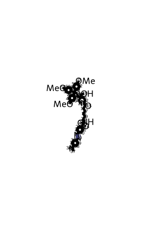 COc1ccc(C(OCC2(CO)CCN(C(=O)CCCCCNS(=O)(=O)c3ccc(/N=N/c4ccc(N(C)C)cc4)cc3)CC2)(c2ccc(OC)cc2)c2ccc(OC)cc2)cc1